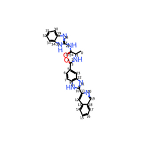 CC(NC(=O)c1ccc2[nH]c(-c3cc4ccccc4cn3)nc2c1)C(=O)Nc1nc2ccccc2[nH]1